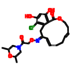 CC1CN(C(=O)CO/N=C2/C=C/CC/C=C/CCOC(=O)c3c(O)cc(O)c(Cl)c3C2)CC(C)O1